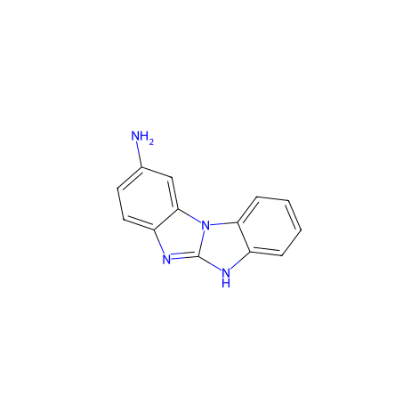 Nc1ccc2nc3[nH]c4ccccc4n3c2c1